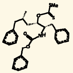 CSC(=S)O[C@@H](C[C@@H](C)Cc1ccccc1)[C@H](Cc1ccccc1)NC(=O)OCc1ccccc1